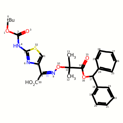 CC(C)(C)OC(=O)Nc1nc(/C(=N\OC(C)(C)C(=O)OC(c2ccccc2)c2ccccc2)C(=O)O)cs1